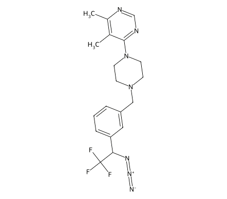 Cc1ncnc(N2CCN(Cc3cccc(C(N=[N+]=[N-])C(F)(F)F)c3)CC2)c1C